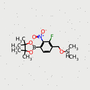 C[SiH](C)OCc1ccc(B2OC(C)(C)C(C)(C)O2)c([N+](=O)[O-])c1F